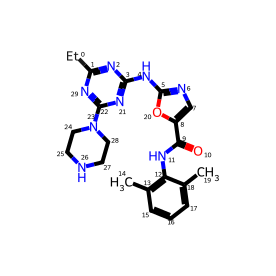 CCc1nc(Nc2ncc(C(=O)Nc3c(C)cccc3C)o2)nc(N2CCNCC2)n1